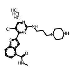 CNC(=O)c1cccc2sc(-c3nc(NCCCN4CCNCC4)ncc3Cl)cc12.Cl.Cl.Cl